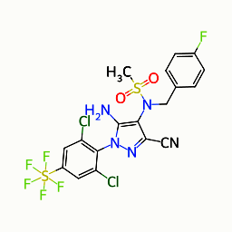 CS(=O)(=O)N(Cc1ccc(F)cc1)c1c(C#N)nn(-c2c(Cl)cc(S(F)(F)(F)(F)F)cc2Cl)c1N